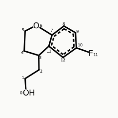 OCCC1CCOc2ccc(F)cc21